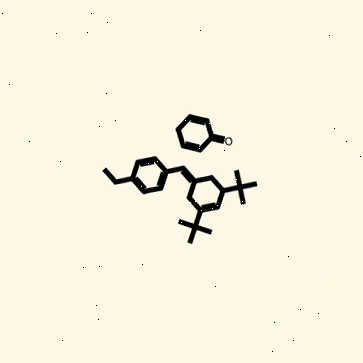 CCc1ccc(C=C2CC(C(C)(C)C)=CC(C(C)(C)C)C2)cc1.O=C1C=CCC=C1